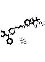 CCOC(=O)C(C)(C)c1nc2ccc(OCCCN3CCN(C(c4ccccc4)c4ccccc4)CC3)nn2c1Cl.Cl.Cl.Cl